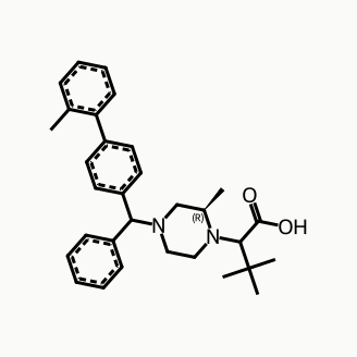 Cc1ccccc1-c1ccc(C(c2ccccc2)N2CCN(C(C(=O)O)C(C)(C)C)[C@H](C)C2)cc1